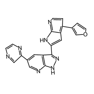 c1cnc(-c2cnc3[nH]nc(-c4cc5c(-c6ccoc6)ccnc5[nH]4)c3c2)cn1